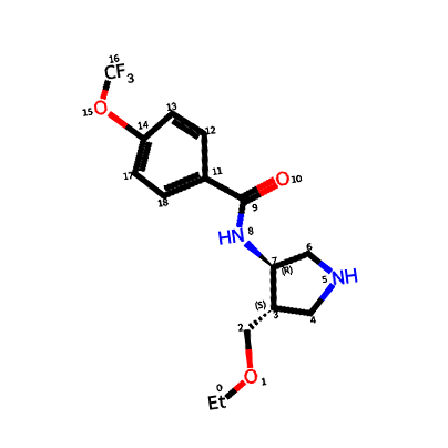 CCOC[C@H]1CNC[C@@H]1NC(=O)c1ccc(OC(F)(F)F)cc1